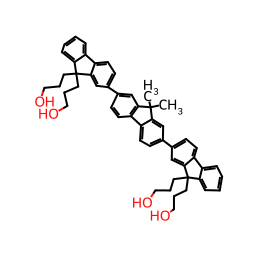 CC1(C)c2cc(-c3ccc4c(c3)C(CCCO)(CCCO)c3ccccc3-4)ccc2-c2ccc(-c3ccc4c(c3)C(CCCO)(CCCO)c3ccccc3-4)cc21